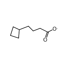 [O]C(=O)CCCC1CCC1